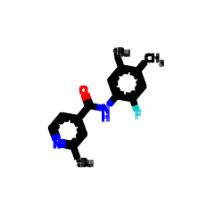 Cc1cc(F)c(NC(=O)c2ccnc(C(C)(C)C)c2)cc1C(C)(C)C